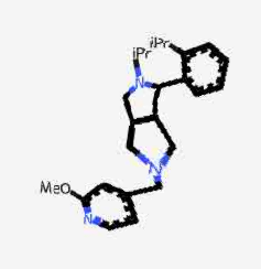 COc1cc(CN2CC3CN(C(C)C)C(c4ccccc4C(C)C)C3C2)ccn1